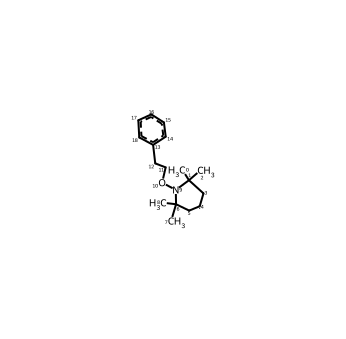 CC1(C)C[CH]CC(C)(C)N1OCCc1ccccc1